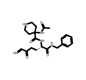 CC(=O)NC1(C(=O)N[C@@H](CCC(=O)C=N)C(=O)NCc2ccccc2)CCNCC1